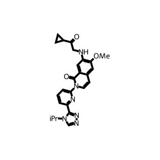 COc1cc2ccn(-c3cccc(-c4nncn4C(C)C)n3)c(=O)c2cc1NCC(=O)C1CC1